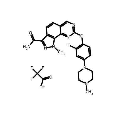 CN1CCN(c2ccc(Oc3ncc4ccc5c(C(N)=O)nn(C)c5c4n3)c(F)c2)CC1.O=C(O)C(F)(F)F